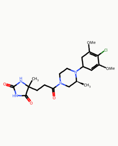 COC1=CC(N2CCN(C(=O)CCC3(C)NC(=O)NC3=O)C[C@@H]2C)CC(OC)=C1Cl